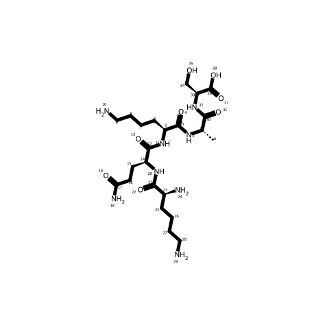 C[C@H](NC(=O)[C@H](CCCCN)NC(=O)[C@H](CCC(N)=O)NC(=O)[C@@H](N)CCCCN)C(=O)N[C@@H](CO)C(=O)O